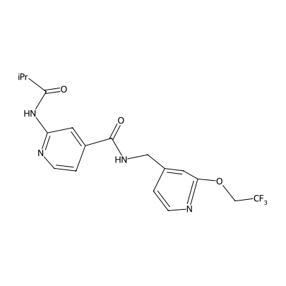 CC(C)C(=O)Nc1cc(C(=O)NCc2ccnc(OCC(F)(F)F)c2)ccn1